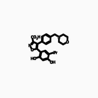 CC(C)c1cc(-c2onc(C(=O)O)c2-c2ccc(CN3CCOCC3)cc2)c(O)cc1O